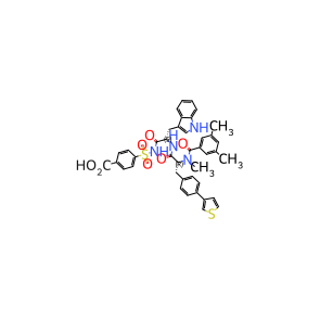 Cc1cc(C)cc(C(=O)N(C)[C@H](Cc2ccc(-c3ccsc3)cc2)C(=O)N[C@@H](Cc2c[nH]c3ccccc23)C(=O)NS(=O)(=O)c2ccc(C(=O)O)cc2)c1